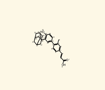 Cc1cc(C=CC(=O)O)ccc1-c1ccc(O)c(C23CC4CC(CC(C4)C2)C3)c1